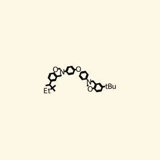 CCC(C)(C)C(C)c1ccc2c(c1)CN(c1ccc(Oc3ccc(N4COc5ccc(C(C)(C)C)cc5C4)cc3)cc1)CO2